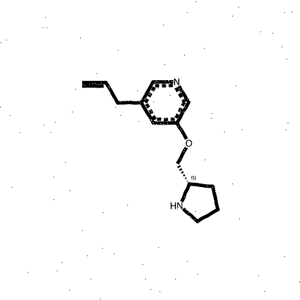 C=CCc1cncc(OC[C@@H]2CCCN2)c1